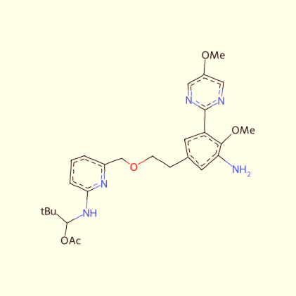 COc1cnc(-c2cc(CCOCc3cccc(NC(OC(C)=O)C(C)(C)C)n3)cc(N)c2OC)nc1